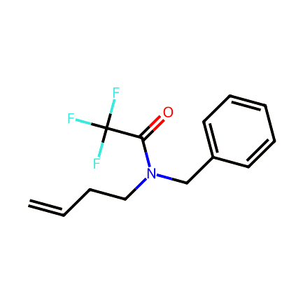 C=CCCN(Cc1ccccc1)C(=O)C(F)(F)F